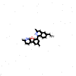 Cc1cc(-c2nc(C)cc3cc(CC(C)C)ccc23)c2oc3nc(C)ccc3c2c1